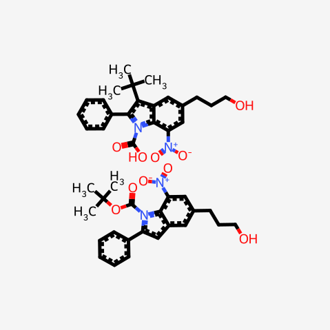 CC(C)(C)OC(=O)n1c(-c2ccccc2)cc2cc(CCCO)cc([N+](=O)[O-])c21.CC(C)(C)c1c(-c2ccccc2)n(C(=O)O)c2c([N+](=O)[O-])cc(CCCO)cc12